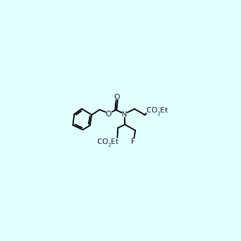 CCOC(=O)CCN(C(=O)OCc1ccccc1)C(CF)CC(=O)OCC